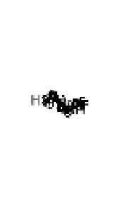 O=C(Nc1ccccc1C(=O)O)c1cccc(S(=O)(=O)Nc2cc(C(F)(F)F)ccc2Br)c1